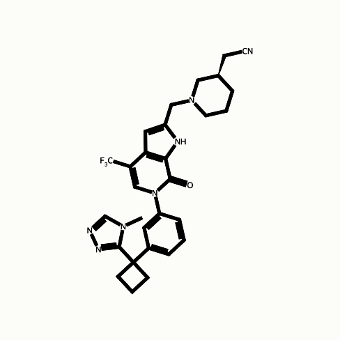 Cn1cnnc1C1(c2cccc(-n3cc(C(F)(F)F)c4cc(CN5CCC[C@H](CC#N)C5)[nH]c4c3=O)c2)CCC1